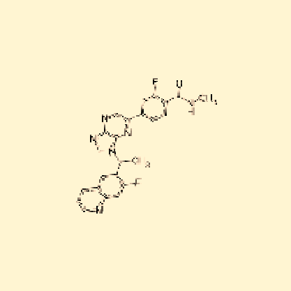 CNC(=O)c1ccc(-c2cnc3ncn(C(C)c4cc5cccnc5cc4F)c3n2)cc1F